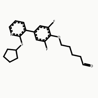 O=CCCCCOc1c(F)cc(-c2cccnc2SC2CCCC2)cc1F